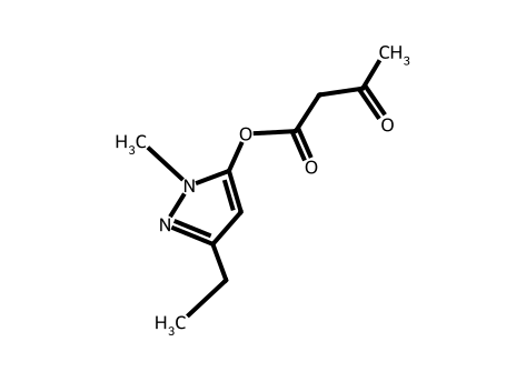 CCc1cc(OC(=O)CC(C)=O)n(C)n1